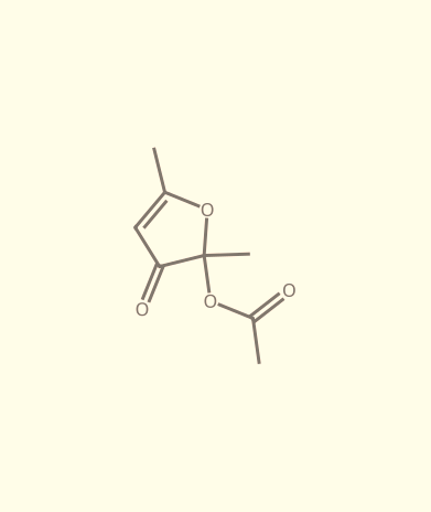 CC(=O)OC1(C)OC(C)=CC1=O